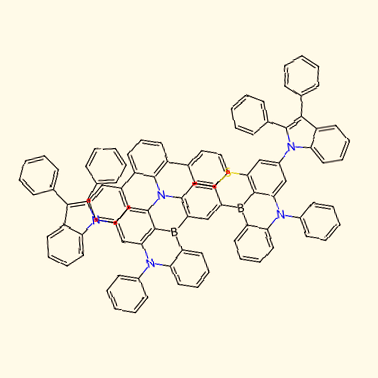 c1ccc(-c2cccc(-c3ccccc3)c2N2c3cc4c(cc3B3c5ccccc5N(c5ccccc5)c5cc(-n6c(-c7ccccc7)c(-c7ccccc7)c7ccccc76)cc2c53)B2c3ccccc3N(c3ccccc3)c3cc(-n5c(-c6ccccc6)c(-c6ccccc6)c6ccccc65)cc(c32)S4)cc1